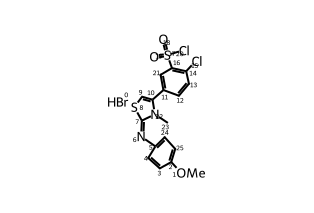 Br.COc1ccc(N=c2scc(-c3ccc(Cl)c(S(=O)(=O)Cl)c3)n2C)cc1